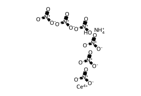 O=[N+]([O-])O.O=[N+]([O-])[O-].O=[N+]([O-])[O-].O=[N+]([O-])[O-].O=[N+]([O-])[O-].O=[N+]([O-])[O-].[Ce+4].[NH4+]